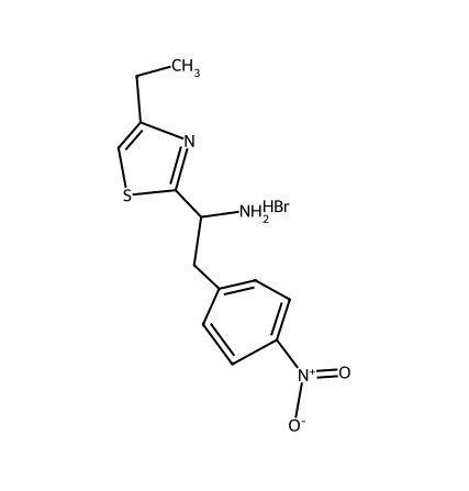 Br.CCc1csc(C(N)Cc2ccc([N+](=O)[O-])cc2)n1